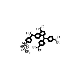 C=C(c1ccc(S(=O)(=O)NS(=O)(=O)C(F)(F)F)cc1)c1ccc2c(C(c3ccc(N(CC)CC)cc3)c3ccc(N(CC)CC)cc3)ccc(NCC)c2c1